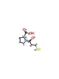 O=C(O)[C@@H]1CCCN1C(=O)CCS